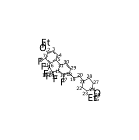 CCOc1ccc2c(c1F)C(F)(F)C(F)(F)C1C(F)=C(CCC3CCC(OCC)CC3)C=CC21